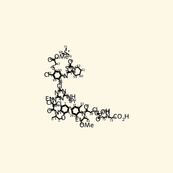 CC1COc2ccccc2N1C(=O)C(Cl)Cl.CCNc1nc(Cl)nc(NC(C)C)n1.CCc1cccc(C)c1N(C(=O)CCl)C(C)COC.COC(=O)CSc1cc(/N=c2\sc(=O)n3n2CCCC3)c(F)cc1Cl.C[S+](C)C.O=C(O)CNCP(=O)([O-])O